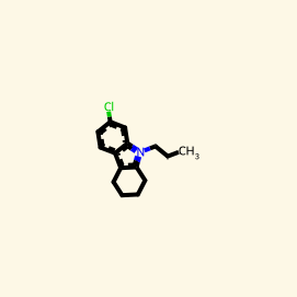 C[CH]Cn1c2c(c3ccc(Cl)cc31)CCCC2